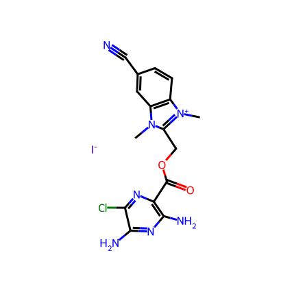 Cn1c(COC(=O)c2nc(Cl)c(N)nc2N)[n+](C)c2ccc(C#N)cc21.[I-]